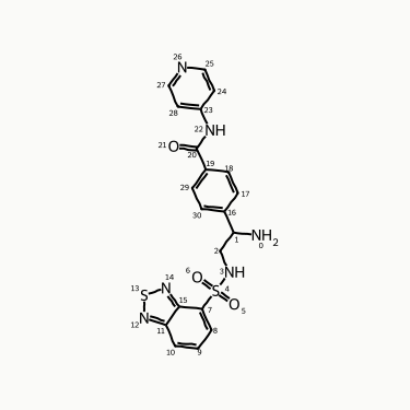 NC(CNS(=O)(=O)c1cccc2nsnc12)c1ccc(C(=O)Nc2ccncc2)cc1